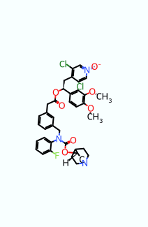 COc1ccc([C@H](Cc2c(Cl)c[n+]([O-])cc2Cl)OC(=O)Cc2cccc(CN(C(=O)O[C@H]3CN4CCC3CC4)c3ccccc3F)c2)cc1OC